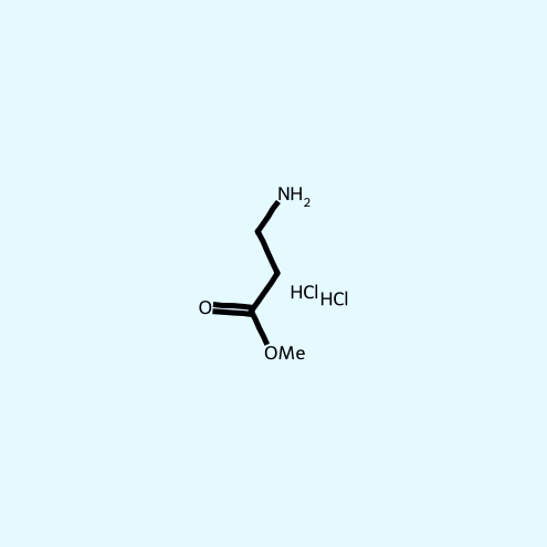 COC(=O)CCN.Cl.Cl